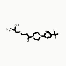 C[C@@H](O)COCCC(=O)N1CCN(c2ncc(C(F)(F)F)cn2)CC1